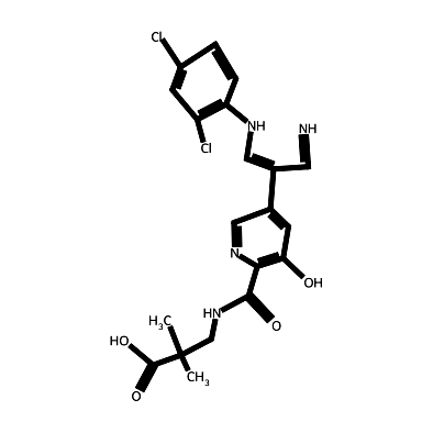 CC(C)(CNC(=O)c1ncc(/C(C=N)=C/Nc2ccc(Cl)cc2Cl)cc1O)C(=O)O